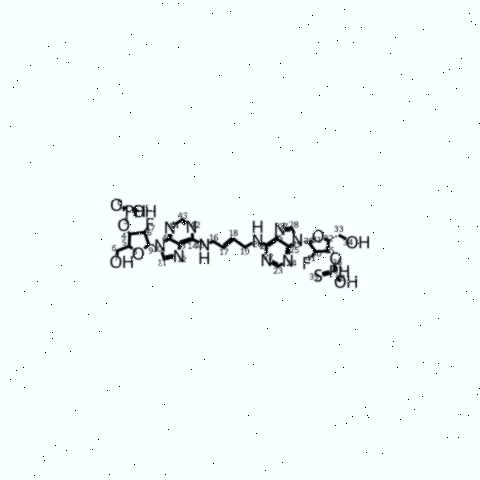 O=[PH](O)O[C@@H]1C(CO)O[C@@H](n2cnc3c(NC/C=C/CNc4ncnc5c4ncn5[C@@H]4O[C@H](CO)[C@@H](O[PH](O)=S)[C@H]4F)ncnc32)[C@@H]1F